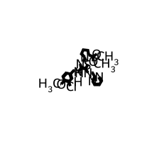 COc1ccc(CNc2nc(N3CCCC3C(OC)OC)sc2NCc2ncccn2)cc1Cl